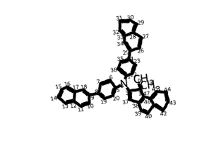 CC1(C)C(N(c2ccc(-c3ccc4ccccc4c3)cc2)c2ccc(-c3ccc4ccccc4c3)cc2)=Cc2ccc3ccccc3c21